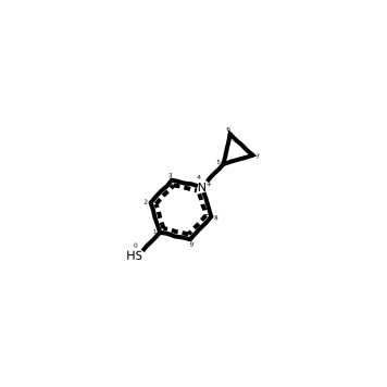 Sc1cc[n+](C2CC2)cc1